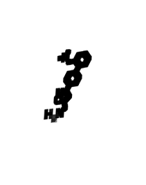 CN(C)Cc1ccccc1-c1ccc(-c2cc(CN)on2)cc1